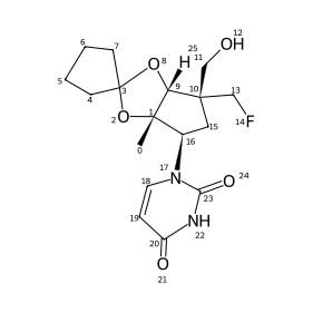 C[C@@]12OC3(CCCC3)O[C@@H]1[C@](CO)(CF)C[C@H]2n1ccc(=O)[nH]c1=O